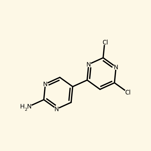 Nc1ncc(-c2cc(Cl)nc(Cl)n2)cn1